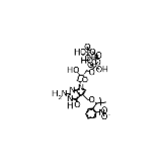 CC(C)(C)[C@H](OCc1cn([C@H]2C[C@@H](O)[C@@H](COP(=O)(O)OP(=O)(O)OP(=O)(O)O)O2)c2nc(N)[nH]c(=O)c12)c1ccccc1[N+](=O)[O-]